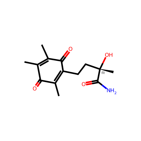 CC1=C(C)C(=O)C(CC[C@](C)(O)C(N)=O)=C(C)C1=O